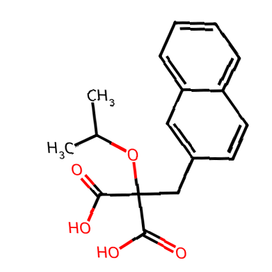 CC(C)OC(Cc1ccc2ccccc2c1)(C(=O)O)C(=O)O